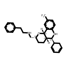 FC(F)(F)c1ccc2c(c1)[C@H]1O[C@@H](CNCCc3ccccc3)CC[C@H]1[C@H](C1C=CC=CC1)N2